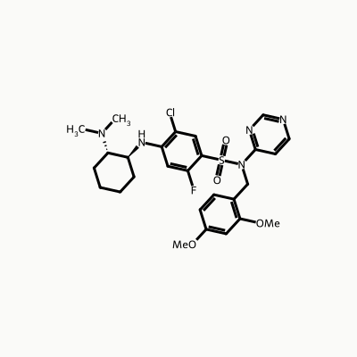 COc1ccc(CN(c2ccncn2)S(=O)(=O)c2cc(Cl)c(N[C@H]3CCCC[C@@H]3N(C)C)cc2F)c(OC)c1